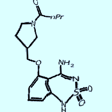 CCCC(=O)N1CCC(COc2cccc3c2C(N)=NS(=O)(=O)N3)C1